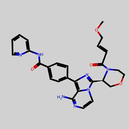 COC/C=C/C(=O)N1CCOC[C@H]1c1nc(-c2ccc(C(=O)Nc3ccccn3)cc2)c2c(N)nccn12